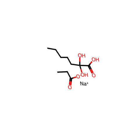 CCC(=O)[O-].CCCCCC(O)(O)C(=O)O.[Na+]